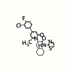 Cc1cc(-c2ccc(F)c(Cl)c2)cc(=O)n1C(CC1CCCCC1)C(=O)Nc1nccs1